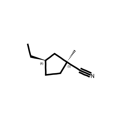 CC[C@@H]1CC[C@](C)(C#N)C1